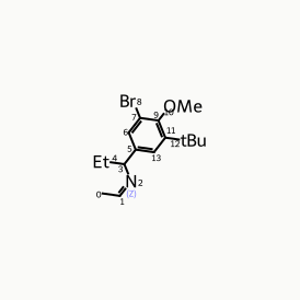 C/C=N\C(CC)c1cc(Br)c(OC)c(C(C)(C)C)c1